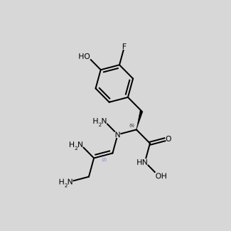 NC/C(N)=C/N(N)[C@@H](Cc1ccc(O)c(F)c1)C(=O)NO